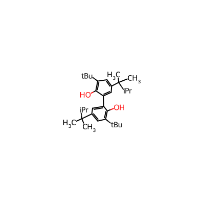 CC(C)C(C)(C)c1cc(-c2cc(C(C)(C)C(C)C)cc(C(C)(C)C)c2O)c(O)c(C(C)(C)C)c1